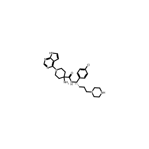 NC1(C(=O)N[C@@H](CCCN2CCNCC2)c2ccc(Cl)cc2)CCN(c2ncnc3[nH]ccc23)CC1